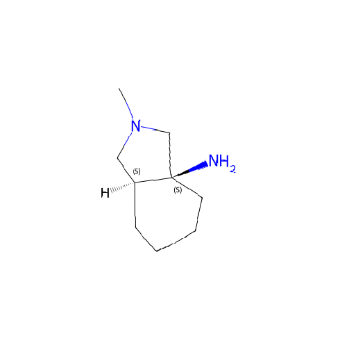 CN1C[C@@H]2CCCC[C@@]2(N)C1